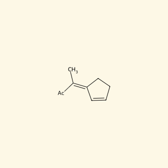 CC(=O)/C(C)=C1\C=CCC1